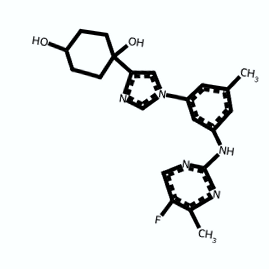 Cc1cc(Nc2ncc(F)c(C)n2)cc(-n2cnc(C3(O)CCC(O)CC3)c2)c1